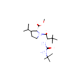 COC(=O)[C@@H]1C(C(C)C)CCN1C(=O)[C@@H](NC(=O)NC(C)(C)C)C(C)(C)C